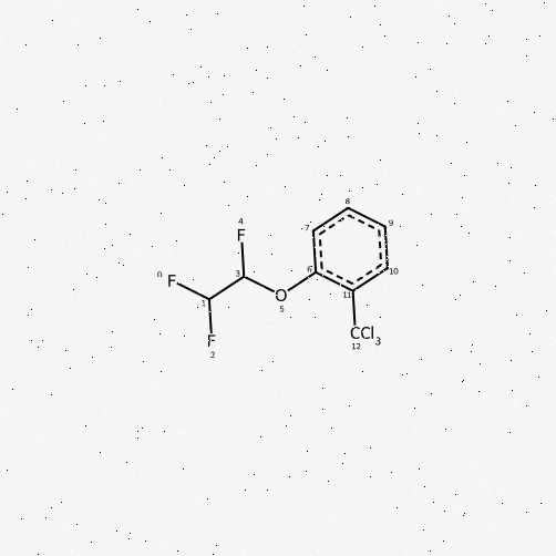 FC(F)C(F)Oc1ccccc1C(Cl)(Cl)Cl